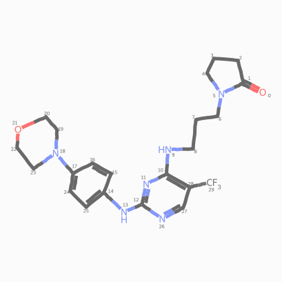 O=C1CCCN1CCCNc1nc(Nc2ccc(N3CCOCC3)cc2)ncc1C(F)(F)F